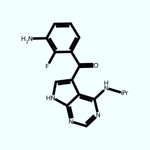 CC(C)Nc1ncnc2[nH]cc(C(=O)c3cccc(N)c3F)c12